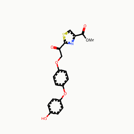 COC(=O)c1csc(C(=O)COc2ccc(Oc3ccc(O)cc3)cc2)n1